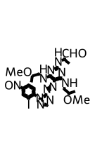 COC(C)CNc1nc(NC(C)C=O)nc(NCC(C)OC)c1N=Nc1ncnn1-c1ccc(N=O)cc1I